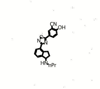 CCCNC1CCc2c(-c3noc(-c4ccc(O)c(C#N)c4)n3)cccc21